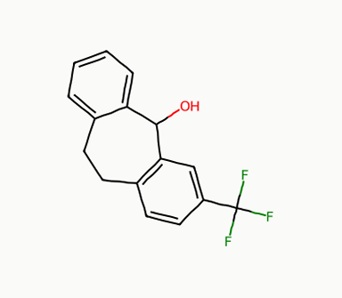 OC1c2ccccc2CCc2ccc(C(F)(F)F)cc21